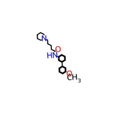 COc1cccc(-c2cccc(NC(=O)CCCCN3CCCCC3)c2)c1